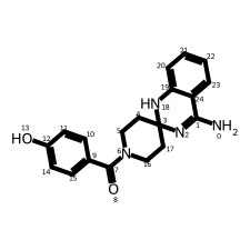 NC1=NC2(CCN(C(=O)c3ccc(O)cc3)CC2)Nc2ccccc21